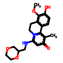 COc1c(O)ccc2c1CCn1c(NCC3COCCO3)cc(=O)c(C)c1-2